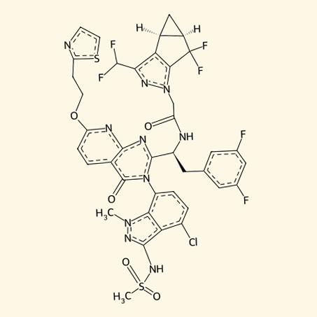 Cn1nc(NS(C)(=O)=O)c2c(Cl)ccc(-n3c([C@H](Cc4cc(F)cc(F)c4)NC(=O)Cn4nc(C(F)F)c5c4C(F)(F)[C@@H]4C[C@H]54)nc4nc(OCCc5nccs5)ccc4c3=O)c21